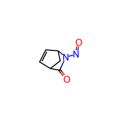 O=NN1C(=O)C2C=CC1C2